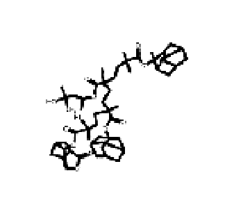 CCC(C)(CCC(C)(CCC(C)(CCC(C)(C)C(=O)OC1(C)C2CC3CC(C2)CC1C3)C(=O)OC(C)CC(C)(O)C(F)(F)F)C(=O)OC12CC3CC(CC(C3)C1)C2)C(=O)OC1C2CC3C(=O)OC1C3C2